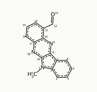 Cn1c2ccccc2c2nc3c(C=O)cccc3nc21